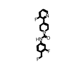 O=C(Nc1ccc(CF)c(F)c1)N1CC=C(c2ncccc2F)CC1